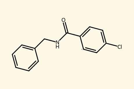 O=C(NCc1ccccc1)c1[c]cc(Cl)cc1